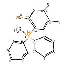 B[PH](c1ccccc1)(c1ccccc1)c1cc(C)c(C)cc1Br